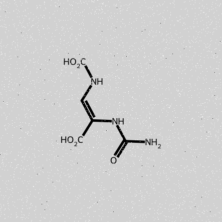 NC(=O)NC(=CNC(=O)O)C(=O)O